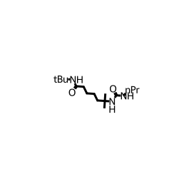 CCCNC(=O)NC(C)(C)CCCCC(=O)NC(C)(C)C